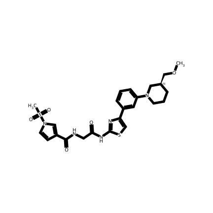 COC[C@H]1CCCN(c2cccc(-c3csc(NC(=O)CNC(=O)c4ccn(S(C)(=O)=O)c4)n3)c2)C1